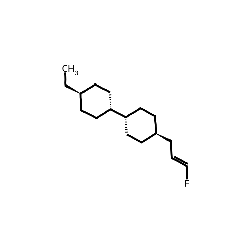 CC[C@H]1CC[C@H]([C@H]2CC[C@H](CC=CF)CC2)CC1